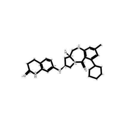 Cc1cc2c(c(C3CCCCC3)c1)C(=O)N1C[C@@H](Oc3ccc4c(c3)NC(=O)CC4)C[C@@H]1CO2